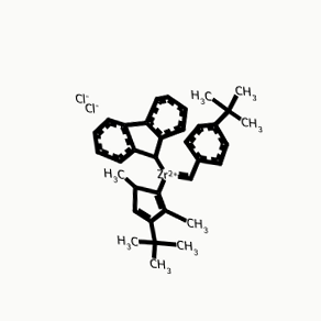 CC1=[C](/[Zr+2](=[CH]/c2ccc(C(C)(C)C)cc2)[CH]2c3ccccc3-c3ccccc32)C(C)C=C1C(C)(C)C.[Cl-].[Cl-]